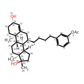 CC(=O)Oc1cccc(CCCC[C@@H]2CC3=C[C@@H](O)CC[C@]3(C)[C@H]3CC[C@@]4(C)[C@@H](CC[C@]4(C)O)[C@H]23)c1